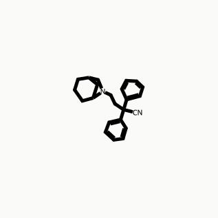 N#CC(CCN1CC2CCCC1C2)(c1ccccc1)c1ccccc1